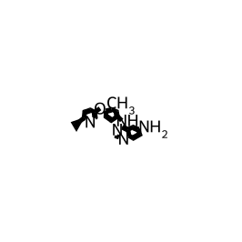 Cc1cc(Nc2ncnc3ccc(N)cc23)ccc1Oc1ccc(C2CC2)nc1